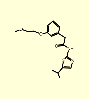 COCCOc1cccc(CC(=O)Nc2ncc(C(C)C)s2)c1